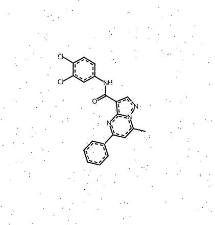 Cc1cc(-c2ccccc2)nc2c(C(=O)Nc3ccc(Cl)c(Cl)c3)cnn12